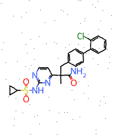 CC(Cc1ccc(-c2ccccc2Cl)cc1)(C(N)=O)c1ccnc(NS(=O)(=O)C2CC2)n1